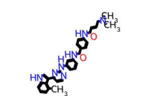 Cc1cccc2[nH]cc(-c3ccnc(Nc4cccc(NC(=O)c5ccc(NC(=O)/C=C/CN(C)C)cc5)c4)n3)c12